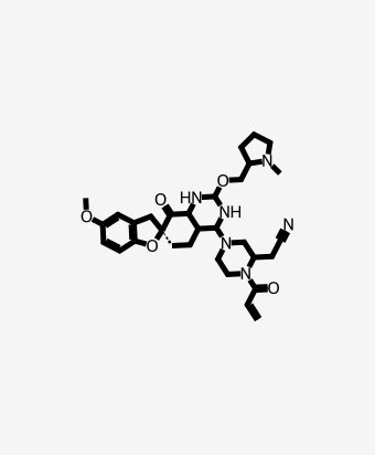 C=CC(=O)N1CCN(C2NC(OCC3CCCN3C)NC3C(=O)[C@]4(CCC32)Cc2cc(OC)ccc2O4)CC1CC#N